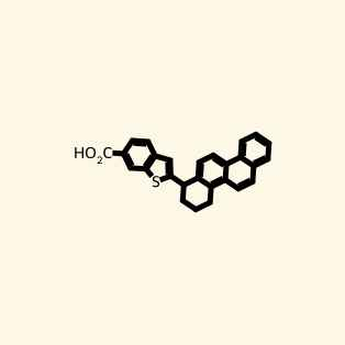 O=C(O)c1ccc2cc(C3CCCc4c3ccc3c4ccc4ccccc43)sc2c1